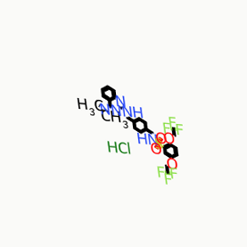 CN(C)c1nc(NCC2CCC(CNS(=O)(=O)c3cc(OCC(F)(F)F)ccc3OCC(F)(F)F)CC2)nc2ccccc12.Cl